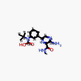 CNC(=O)c1nc(-c2cccc(N(C(=O)O)C(C)(C)C)c2)cnc1N